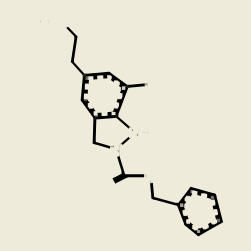 Cc1cc(CCC(=O)O)cc2c1NN(C(=O)OCc1ccccc1)C2